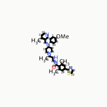 COc1ccc(N(Cc2cnccc2C)C2CCN(C(C)CCNC(=O)c3c(C)cc(-c4nccs4)cc3C)CC2)cc1